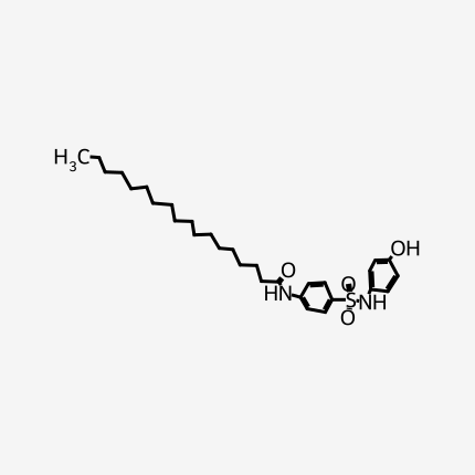 CCCCCCCCCCCCCCCCCC(=O)Nc1ccc(S(=O)(=O)Nc2ccc(O)cc2)cc1